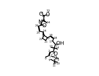 C/C=C/[C@H](O[Si](C)(C)C(C)(C)C)C(C)(C)[C@@H](O)C/C=C\C1CC/C1=C\C=C/c1nc(C(=O)OC)co1